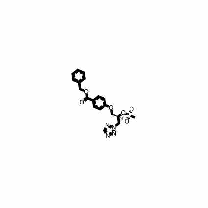 CS(=O)(=O)O[C@H](COc1ccc(C(=O)OCc2ccccc2)cc1)Cn1ncnn1